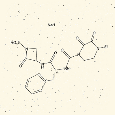 CCN1CCN(C(=O)N[C@H](Cc2ccccc2)C(=O)NC2CN(S(=O)(=O)O)C2=O)C(=O)C1=O.[NaH]